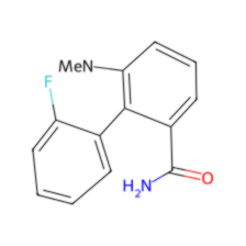 CNc1cccc(C(N)=O)c1-c1ccccc1F